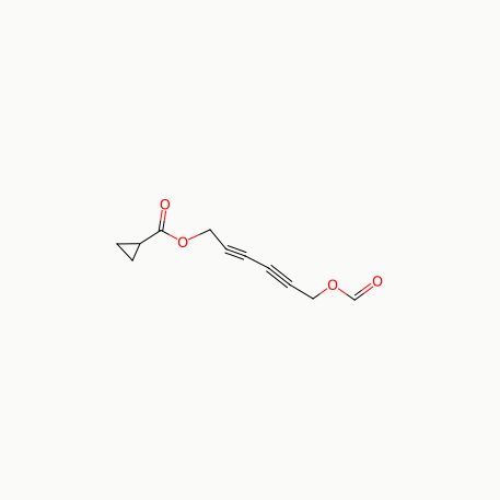 O=COCC#CC#CCOC(=O)C1CC1